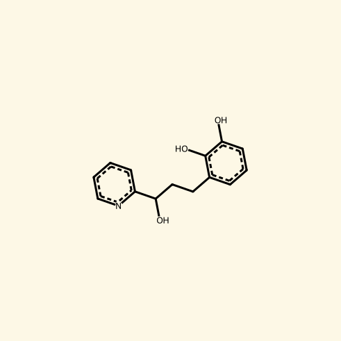 Oc1cccc(CCC(O)c2ccccn2)c1O